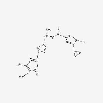 C[C@@H](Cn1ccc(-c2cc(F)c(C#N)c(Cl)c2)n1)NC(=O)c1cn(C)c(C2CC2)n1